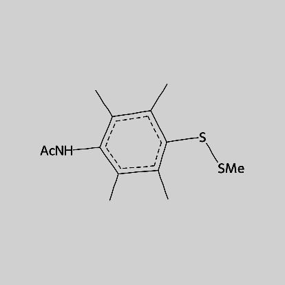 CSSc1c(C)c(C)c(NC(C)=O)c(C)c1C